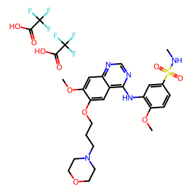 CNS(=O)(=O)c1ccc(OC)c(Nc2ncnc3cc(OC)c(OCCCN4CCOCC4)cc23)c1.O=C(O)C(F)(F)F.O=C(O)C(F)(F)F